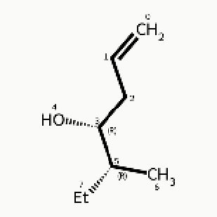 C=CC[C@@H](O)[C@H](C)CC